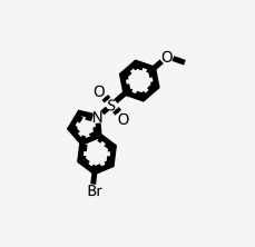 COc1ccc(S(=O)(=O)n2ccc3cc(Br)ccc32)cc1